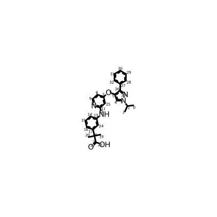 CC(C)n1cc(Oc2ccnc(Nc3cccc(C(C)(C)C(=O)O)c3)c2)c(-c2ccccc2)n1